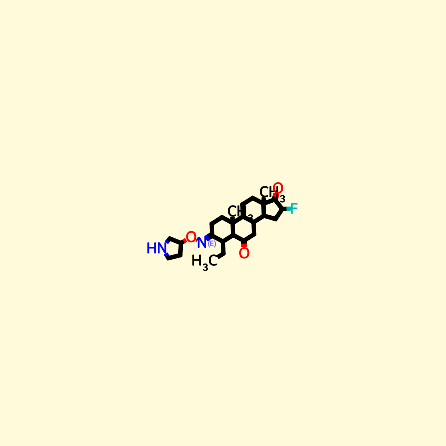 CCC1/C(=N/OC2CCNC2)CCC2(C)C3CCC4(C)C(=O)C(F)CC4C3CC(=O)C12